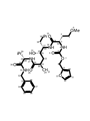 COCC[C@H](NC(=O)OCc1ccco1)C(=O)N[C@@H](CC(C)C)[C@@H](O)C[C@@H](C)C(=O)N[C@H](C(=O)NCc1ccccc1)C(C)C